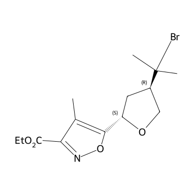 CCOC(=O)c1noc([C@@H]2C[C@@H](C(C)(C)Br)CO2)c1C